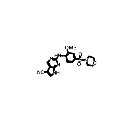 COc1cc(S(=O)(=O)N2CCOCC2)ccc1Nc1ncc2c(C#N)c[nH]c2n1